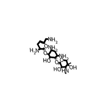 CNC1C(O)[C@@H](O[C@H]2C(N)C[C@H](N)C(O[C@H]3OC(CN)=CCC3N)C2O)OC[C@]1(C)O